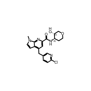 Cn1ccc2c(Cc3ccc(Cl)nc3)cc(C(=O)N[C@@H]3CCOC[C@H]3O)nc21